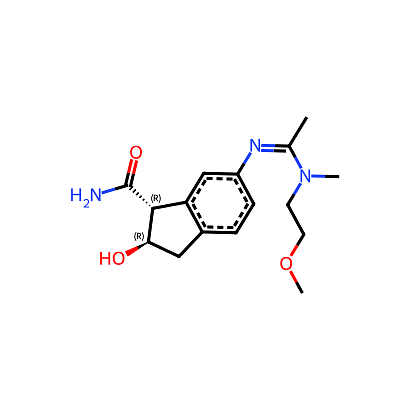 COCCN(C)C(C)=Nc1ccc2c(c1)[C@@H](C(N)=O)[C@H](O)C2